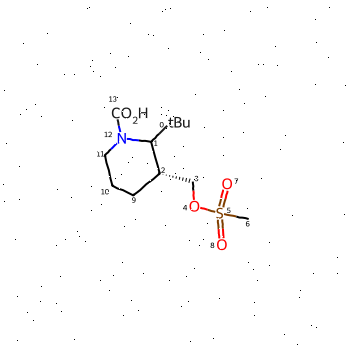 CC(C)(C)C1[C@H](COS(C)(=O)=O)CCCN1C(=O)O